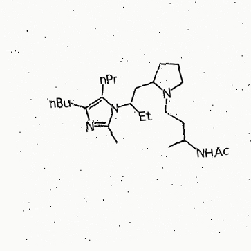 CCCCc1nc(C)n(C(CC)CC2CCCN2CCC(C)NC(C)=O)c1CCC